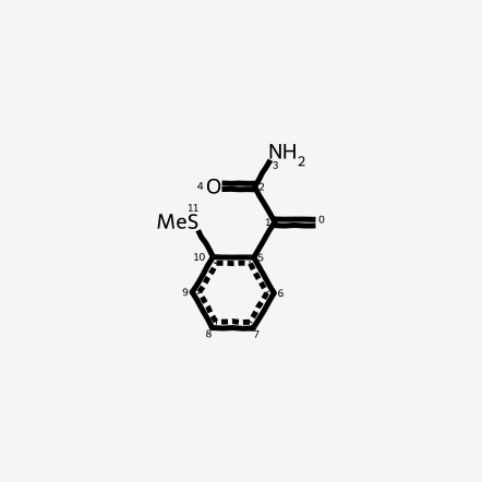 C=C(C(N)=O)c1ccccc1SC